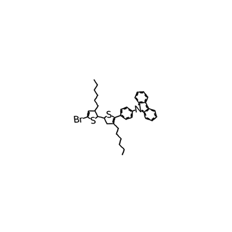 CCCCCCC1=C(c2ccc(-n3c4ccccc4c4ccccc43)cc2)SC(C2SC(Br)=CC2CCCCCC)C1